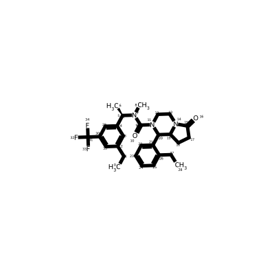 CCc1cc([C@@H](C)N(C)C(=O)N2CCN3C(=O)CCC3C2c2ccccc2CC)cc(C(F)(F)F)c1